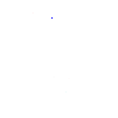 CC(C)(C)NC(=O)C(C)(C)SCC[C@@H]1OCC[C@@]2(S(=O)(=O)c3ccc(Cl)cc3)c3c(F)ccc(F)c3OC[C@@H]12